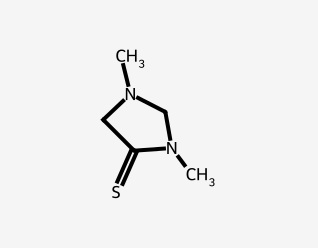 CN1CC(=S)N(C)C1